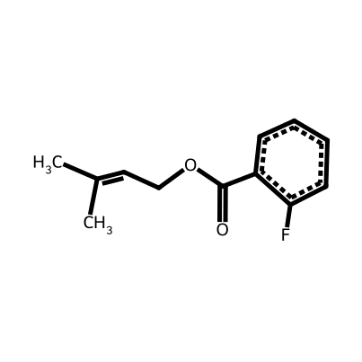 CC(C)=CCOC(=O)c1ccccc1F